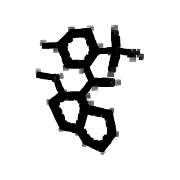 COc1ccc2ccccc2c1C(=O)c1cc(C)ccc1S(N)(=O)=O